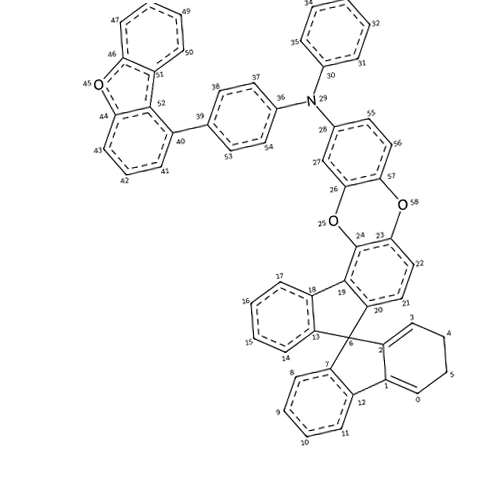 C1=C2C(=CCC1)C1(c3ccccc32)c2ccccc2-c2c1ccc1c2Oc2cc(N(c3ccccc3)c3ccc(-c4cccc5oc6ccccc6c45)cc3)ccc2O1